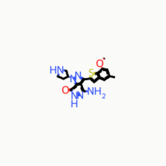 COc1cc(C)cc2cc(-c3nn([C@H]4CCNC4)c4c(=O)[nH]nc(N)c34)sc12